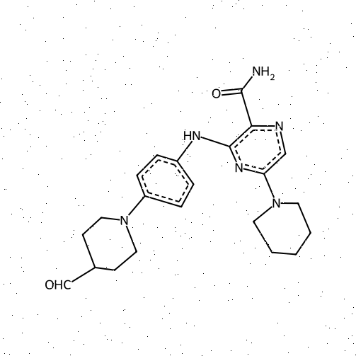 NC(=O)c1ncc(N2CCCCC2)nc1Nc1ccc(N2CCC(C=O)CC2)cc1